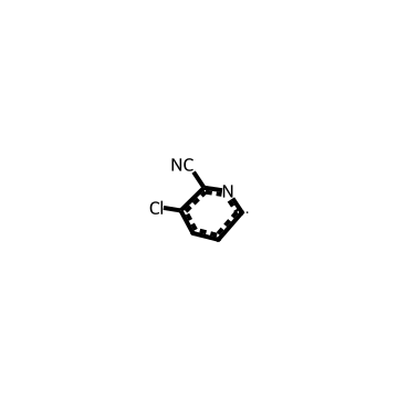 N#Cc1n[c]ccc1Cl